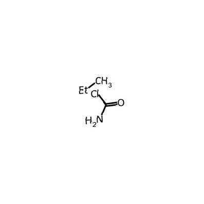 CCC.NC(=O)Cl